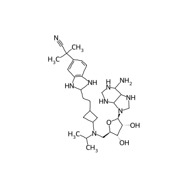 CC(C)N(C[C@H]1O[C@@H](N2CNC3C(N)NCNC32)[C@H](O)[C@@H]1O)C1CC(CCC2Nc3ccc(C(C)(C)C#N)cc3N2)C1